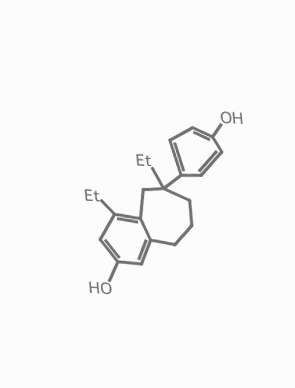 CCc1cc(O)cc2c1CC(CC)(c1ccc(O)cc1)CCC2